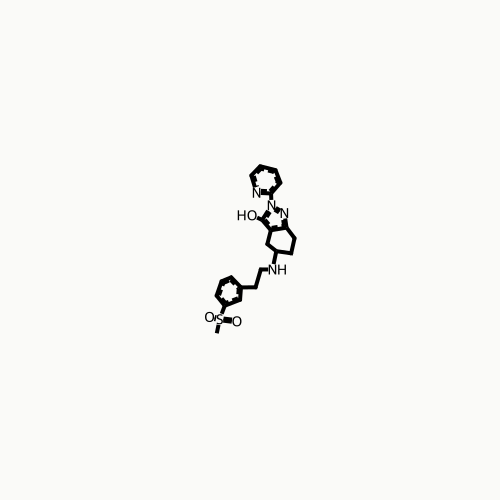 CS(=O)(=O)c1cccc(CCNC2CCc3nn(-c4ccccn4)c(O)c3C2)c1